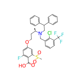 C[C@H](CCOc1cc(F)c(C(=O)O)c(S(C)(=O)=O)c1)N(Cc1cccc(C(F)(F)F)c1Cl)CC(c1ccccc1)c1ccccc1